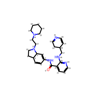 O=C(NC1=CC2C(C=C1)CCN2CCN1CCCCC1)c1cccnc1NCC1C=CN=CC1